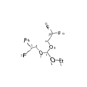 CCOC(OCC(F)F)OCC(F)F